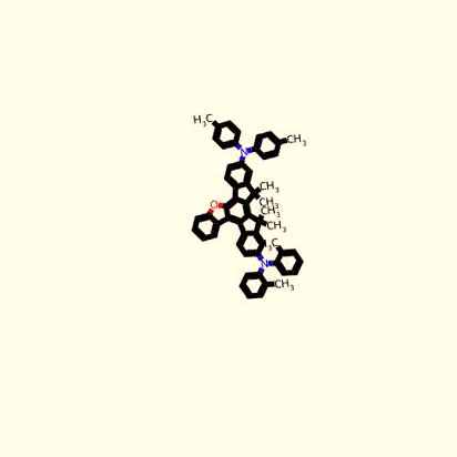 Cc1ccc(N(c2ccc(C)cc2)c2ccc3c(c2)C(C)(C)c2c4c(c5c(oc6ccccc65)c2-3)-c2ccc(N(c3ccccc3C)c3ccccc3C)cc2C4(C)C)cc1